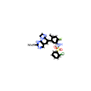 CNc1ncc2c(n1)N1CCN=C1C(c1cc(NS(=O)(=O)c3ccccc3Cl)c(F)cc1C)=C2